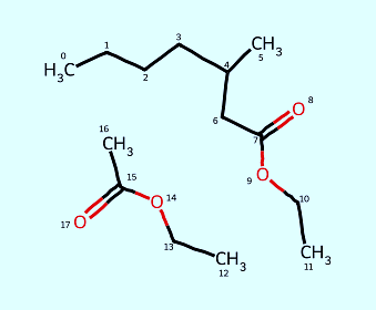 CCCCC(C)CC(=O)OCC.CCOC(C)=O